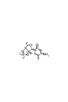 C[C@H]1O[C@@H](n2cc(F)c(N)nc2=O)[C@@H]2OC(C)(C)OC21